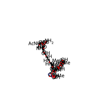 CCN(CC(=O)NCCCNCCCCNCCCNC(=O)OCc1ccc(NC(=O)[C@H](CCCNC(N)=O)NC(=O)[C@@H](NC(=O)[C@H](CCCCN)NC(C)=O)C(C)C)cc1)[C@H]1CO[C@@H](O[C@H]2[C@H](OC[C@H]3C#C/C=C\C#CC4CC(=O)C(NC(=O)OC)=C3/C4=C\CSSC(C)C)O[C@H](C)[C@@H](NO[C@H]3C[C@H](O)[C@H](SC(=O)c4c(C)c(I)c(O[C@@H]5O[C@@H](C)[C@H](O)[C@@H](OC)[C@H]5O)c(OC)c4OC)[C@@H](C)O3)[C@@H]2O)C[C@@H]1OC